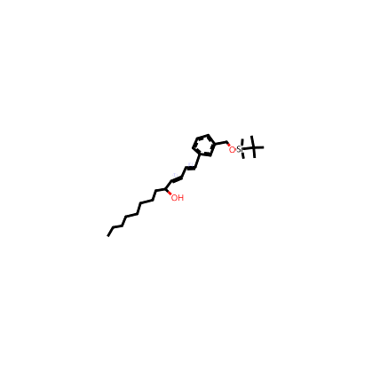 CCCCCCCCC(O)/C=C/C=C/c1cccc(CO[Si](C)(C)C(C)(C)C)c1